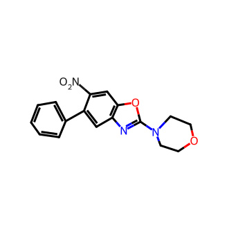 O=[N+]([O-])c1cc2oc(N3CCOCC3)nc2cc1-c1ccccc1